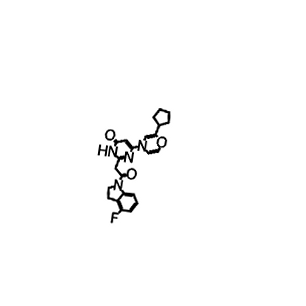 O=C(Cc1nc(N2C=COC(C3CCCC3)=C2)cc(=O)[nH]1)N1CCc2c(F)cccc21